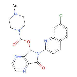 CC(=O)N1CCN(C(=O)OC2c3nccnc3C(=O)N2c2ccc3ccc(Cl)cc3n2)CC1